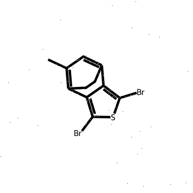 Cc1cc2c3c(Br)sc(Br)c3c1CC2